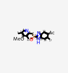 COc1c(C)cnc(C[S+]([O-])c2nc3cc(C(C)=O)c(C)cc3[nH]2)c1C